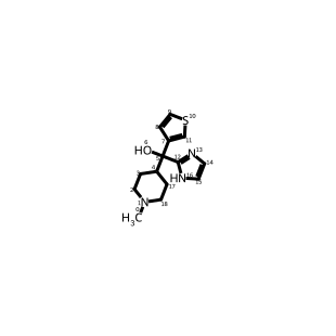 CN1CCC(C(O)(c2ccsc2)c2ncc[nH]2)CC1